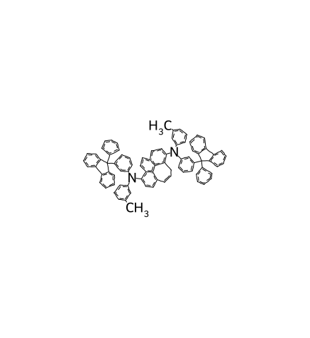 Cc1cccc(N(c2cccc(C3(c4ccccc4)c4ccccc4-c4ccccc43)c2)c2ccc3ccc4c(N(c5cccc(C)c5)c5cccc(C6(c7ccccc7)c7ccccc7-c7ccccc76)c5)ccc5c4c3c2CC=C5)c1